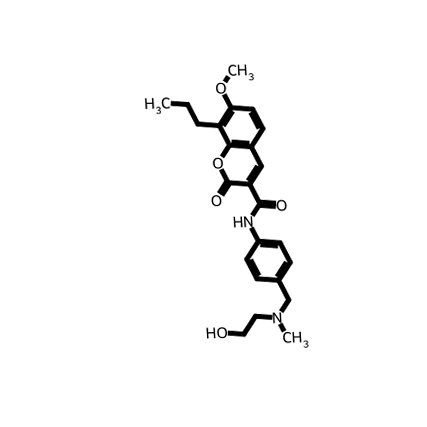 CCCc1c(OC)ccc2cc(C(=O)Nc3ccc(CN(C)CCO)cc3)c(=O)oc12